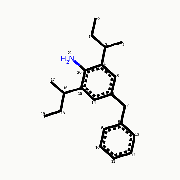 CCC(C)c1cc(Cc2ccccc2)cc(C(C)CC)c1N